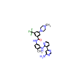 Cc1ccc(NC(=O)c2cc(N3CCN(C)CC3)cc(C(F)(F)F)c2)cc1Nc1ncccc1-c1cc(N)ncn1